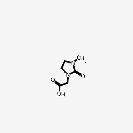 CN1CCN(CC(=O)O)C1=O